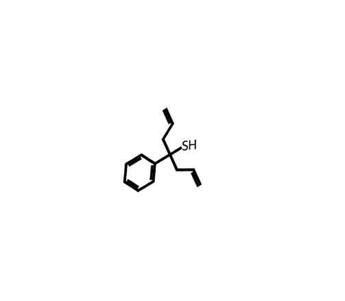 C=CCC(S)(CC=C)c1ccccc1